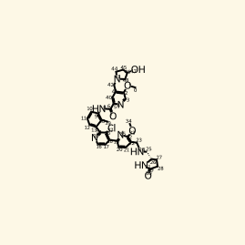 COc1cnc(C(=O)Nc2cccc(-c3nccc(-c4ccc(CNC[C@@H]5CCC(=O)N5)c(OC)n4)c3Cl)c2C)cc1CN1CC[C@@H](O)C1